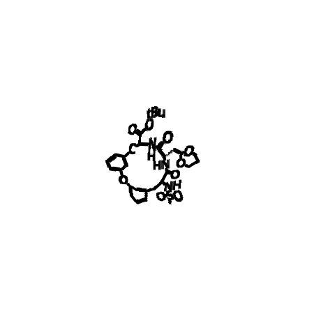 CC(C)(C)OC(=O)C1Cc2cccc(c2)Oc2cccc(c2)C[C@H](NS(C)(=O)=O)C(=O)N[C@@H](CC2OCCCO2)C(=O)N1